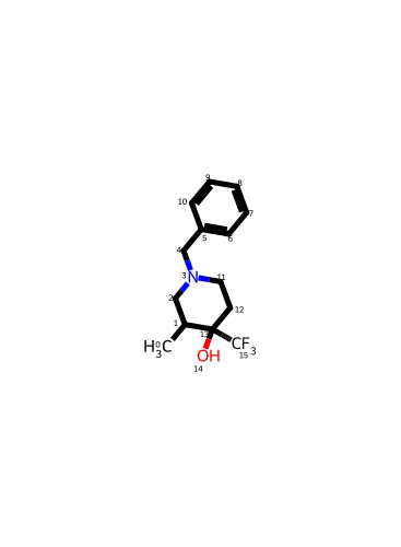 CC1CN(Cc2ccccc2)CCC1(O)C(F)(F)F